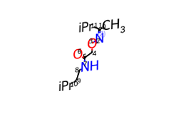 C/C(=N/OCC(=O)NCCC(C)C)C(C)C